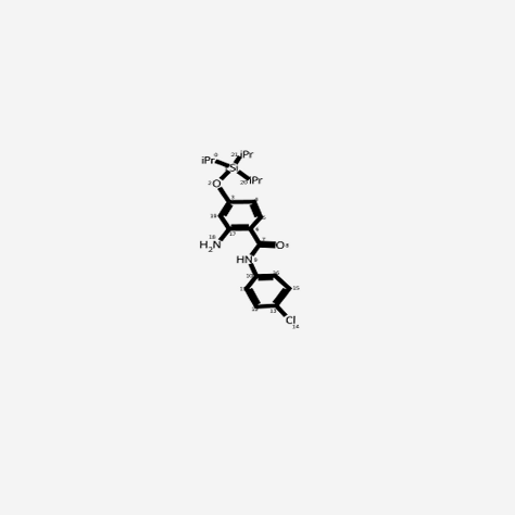 CC(C)[Si](Oc1ccc(C(=O)Nc2ccc(Cl)cc2)c(N)c1)(C(C)C)C(C)C